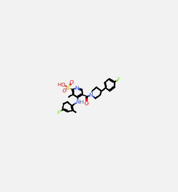 Cc1cc(F)ccc1Nc1c(C(=O)N2CCC(c3ccc(F)cc3)CC2)cnc(S(=O)(=O)O)c1C